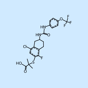 CC(C)(Sc1cc(Cl)c2c(c1F)CCC(NC(=O)Nc1ccc(OC(F)(F)F)cc1)C2)C(=O)O